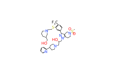 CS(=O)(=O)N1CCc2c(c(-c3ccc(C(F)(F)F)c(SCCN4CCCC(CO)C4)c3)nn2CC(O)CN2CCC(c3ccccn3)CC2)C1